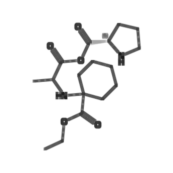 CCOC(=O)C1(NC(C)C(=O)OC(=O)[C@@H]2CCCN2)CCCCC1